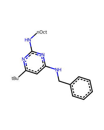 CCCCCCCCNc1nc(NCc2ccccc2)cc(C(C)(C)C)n1